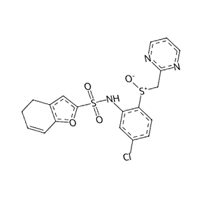 O=S(=O)(Nc1cc(Cl)ccc1[S+]([O-])Cc1ncccn1)c1cc2c(o1)C=CCC2